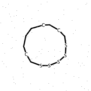 C1CCCCSSSSSCCCC1